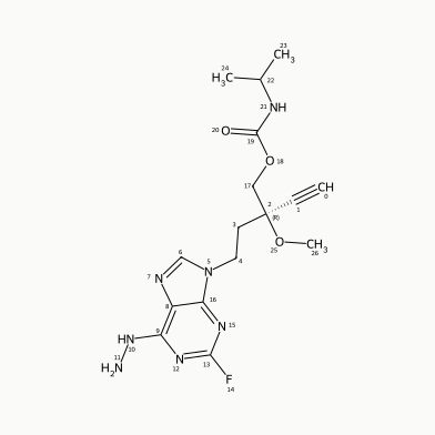 C#C[C@](CCn1cnc2c(NN)nc(F)nc21)(COC(=O)NC(C)C)OC